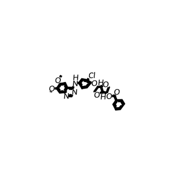 COc1cc2ncnc(Nc3ccc(O[C@H]4CO[C@@H]5C(OC(=O)c6ccccc6)CO[C@H]45)c(Cl)c3)c2cc1OC